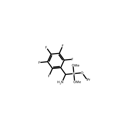 CO[Si](OC)(OC(C)C)C(N)c1c(F)c(F)c(F)c(F)c1F